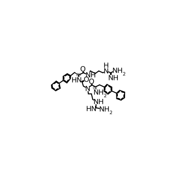 N=C(N)NCCCCNC(=O)[C@H](Cc1ccc(-c2ccccc2)cc1)NC(=O)CN(CCCNC(=N)N)C(=O)[C@@H](N)Cc1ccc(-c2ccccc2)cc1